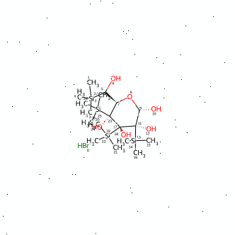 Br.C[Si](C)(C)C(O)[C@H]1O[C@H](O)[C@@](O)([Si](C)(C)C)[C@](O)([Si](C)(C)C)[C@@]1(O)[Si](C)(C)C